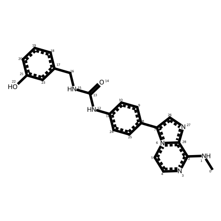 CNc1nccn2c(-c3ccc(NC(=O)NCc4cccc(O)c4)cc3)cnc12